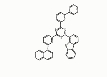 c1ccc(-c2cccc(-c3nc(-c4cccc(-c5cccc6ccccc56)c4)nc(-c4cccc5c4sc4ccccc45)n3)c2)cc1